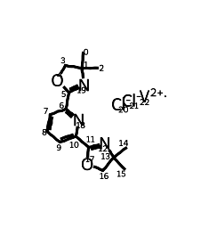 CC1(C)COC(c2cccc(C3=NC(C)(C)CO3)n2)=N1.[Cl-].[Cl-].[V+2]